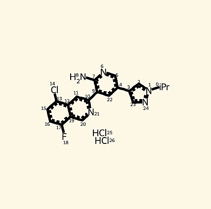 CC(C)n1cc(-c2cnc(N)c(-c3cc4c(Cl)ccc(F)c4cn3)c2)cn1.Cl.Cl